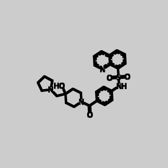 O=C(c1ccc(NS(=O)(=O)c2cccc3cccnc23)cc1)N1CCC(O)(CN2CCCC2)CC1